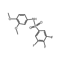 COc1ccc(NS(=O)(=O)c2cc(F)c(F)c(F)c2)cc1OC